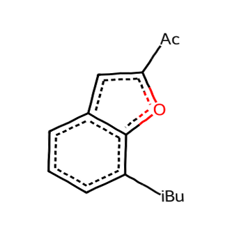 CCC(C)c1cccc2cc(C(C)=O)oc12